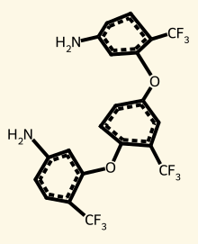 Nc1ccc(C(F)(F)F)c(Oc2ccc(Oc3cc(N)ccc3C(F)(F)F)c(C(F)(F)F)c2)c1